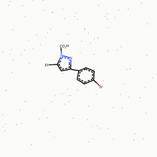 CCc1cc(-c2ccc(Br)cc2)nn1C(=O)O